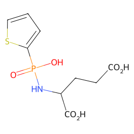 O=C(O)CCC(NP(=O)(O)c1cccs1)C(=O)O